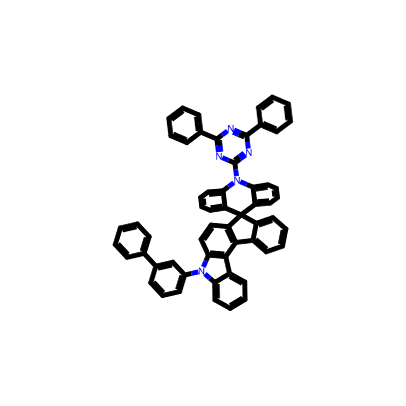 c1ccc(-c2cccc(-n3c4ccccc4c4c5c(ccc43)C3(c4ccccc4-5)c4ccccc4N(c4nc(-c5ccccc5)nc(-c5ccccc5)n4)c4ccccc43)c2)cc1